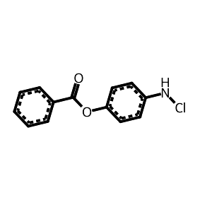 O=C(Oc1ccc(NCl)cc1)c1ccccc1